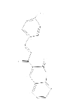 O=C(/C=C/c1ccc([N+](=O)[O-])cc1)c1cc2ccccc2oc1=O